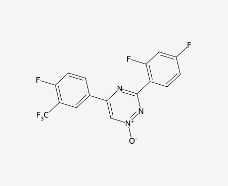 [O-][n+]1cc(-c2ccc(F)c(C(F)(F)F)c2)nc(-c2ccc(F)cc2F)n1